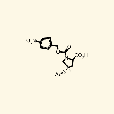 CC(=O)S[C@H]1CC(C(=O)O)N(C(=O)OCc2ccc([N+](=O)[O-])cc2)C1